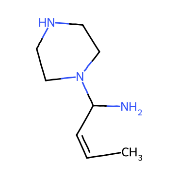 C/C=C\C(N)N1CCNCC1